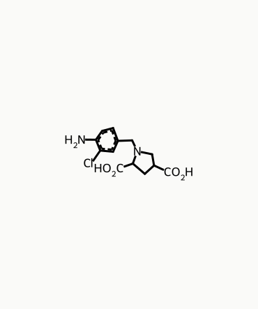 Nc1ccc(CN2CC(C(=O)O)CC2C(=O)O)cc1Cl